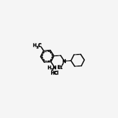 CCN(Cc1cc(C)ccc1N)C1CCCCC1.Cl